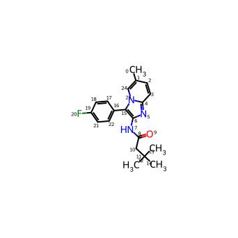 Cc1ccc2nc(NC(=O)CC(C)(C)C)c(-c3ccc(F)cc3)n2c1